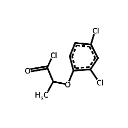 CC(Oc1ccc(Cl)cc1Cl)C(=O)Cl